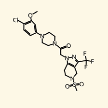 COc1cc(N2CCN(C(=O)Cn3nc(C(F)(F)F)c4c3CCN(S(C)(=O)=O)C4)CC2)ccc1Cl